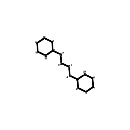 C1CCC(SSSSC2CCCCS2)SC1